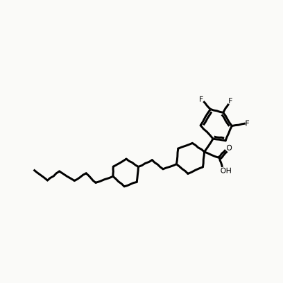 CCCCCCC1CCC(CCC2CCC(C(=O)O)(c3cc(F)c(F)c(F)c3)CC2)CC1